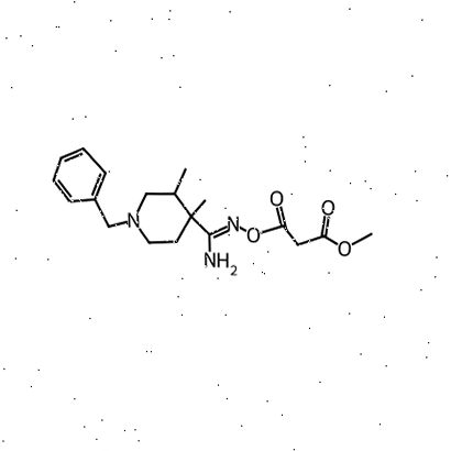 COC(=O)CC(=O)O/N=C(\N)C1(C)CCN(Cc2ccccc2)CC1C